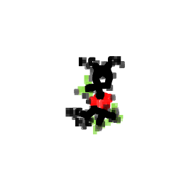 CC(C)C(OC(=O)C1(C(F)(F)F)CC2CC1C(C)C2C)C(O)(C(F)(F)F)C(F)(F)F